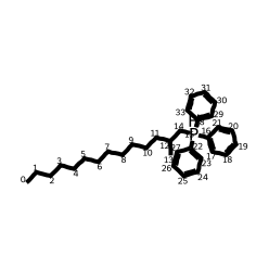 CCCCCCCCCCCCC(C)C[PH](c1ccccc1)(c1ccccc1)c1ccccc1